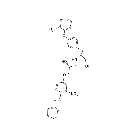 Cc1cccnc1Oc1ccc(C[C@@H](CO)NC[C@H](O)COc2ccc(OCc3ccccc3)c([N+](=O)[O-])c2)cc1